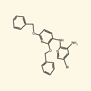 Nc1cc(Br)cnc1Nc1ccc(OCc2ccccc2)nc1OCc1ccccc1